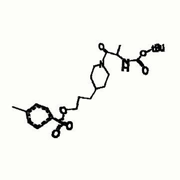 Cc1ccc(S(=O)(=O)OCCCC2CCN(C(=O)C(C)NC(=O)OC(C)(C)C)CC2)cc1